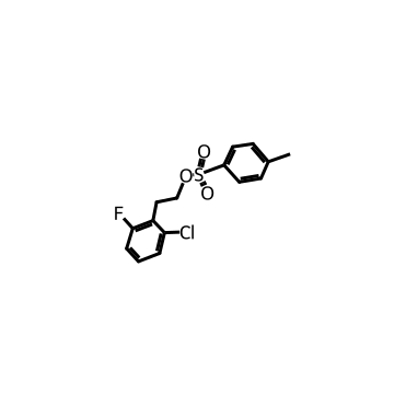 Cc1ccc(S(=O)(=O)OCCc2c(F)cccc2Cl)cc1